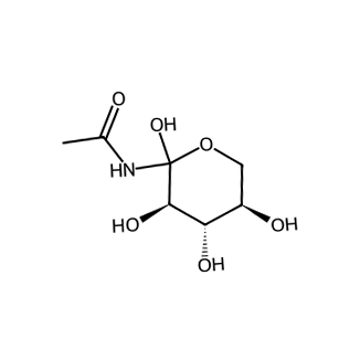 CC(=O)NC1(O)OC[C@@H](O)[C@H](O)[C@H]1O